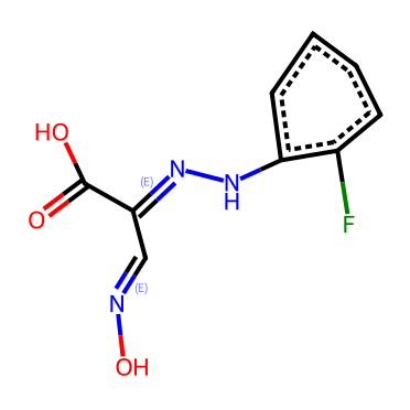 O=C(O)C(/C=N/O)=N/Nc1ccccc1F